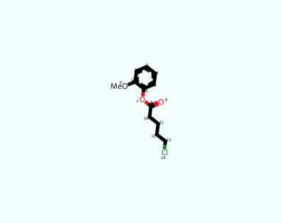 COc1ccccc1OC(=O)CCCCCl